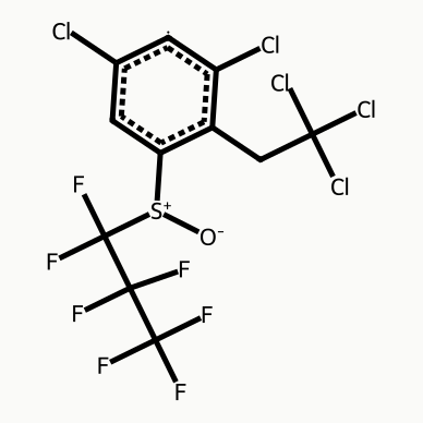 [O-][S+](c1cc(Cl)[c]c(Cl)c1CC(Cl)(Cl)Cl)C(F)(F)C(F)(F)C(F)(F)F